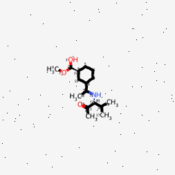 COC(O)[C@H]1CCCC(C(C)N[C@@H](C(C)=O)C(C)C)C1